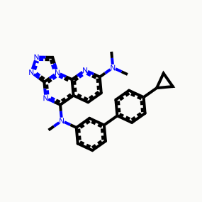 CN(C)c1ccc2c(N(C)c3cccc(-c4ccc(C5CC5)cc4)c3)nc3nncn3c2n1